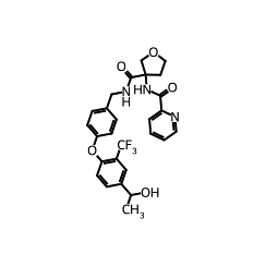 CC(O)c1ccc(Oc2ccc(CNC(=O)C3(NC(=O)c4ccccn4)CCOC3)cc2)c(C(F)(F)F)c1